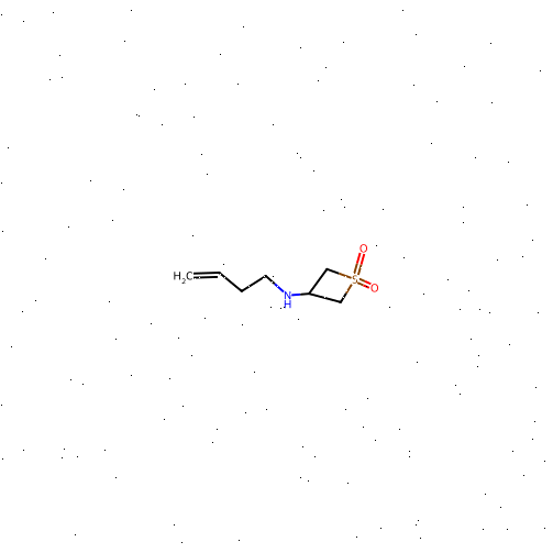 C=CCCNC1CS(=O)(=O)C1